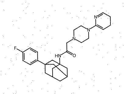 O=C(CN1CCN(C2=CCCC=N2)CC1)NC12CC3CC(C1)CC(c1ccc(F)cc1)(C3)C2